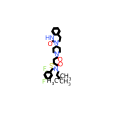 CC(C)(C)CCN1C(=O)C(CC(=O)N2CCC(N3CCc4ccccc4NC3=O)CC2)SC1c1ccc(F)cc1F